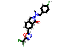 CN(Cc1ccc(F)cc1)N1Cc2ccc(-c3nnc(C(F)F)o3)cc2C1=O